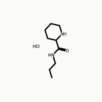 CCCNC(=O)C1CCCCN1.Cl